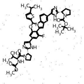 COC(=O)N[C@H](C(=O)N1CCC[C@H]1c1ncc(-c2cc(F)c3c(c2)OC(c2ccc(C(C)C)s2)n2c-3cc3cc(-c4cnc([C@@H]5CCCN5C(=O)OC(C)(C)C)[nH]4)ccc32)[nH]1)C(C)C